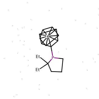 CCC1(CC)CCCP1[C]12[CH]3[CH]4[CH]5[CH]1[Fe]45321678[CH]2[CH]1[CH]6[CH]7[CH]28